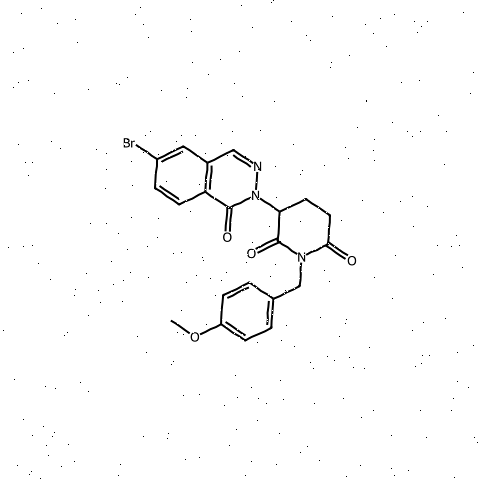 COc1ccc(CN2C(=O)CCC(n3ncc4cc(Br)ccc4c3=O)C2=O)cc1